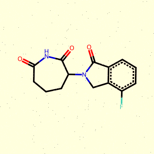 O=C1CCCC(N2Cc3c(F)cccc3C2=O)C(=O)N1